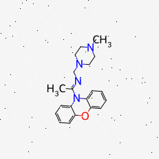 C/C(=N\CN1CCN(C)CC1)N1c2ccccc2Oc2ccccc21